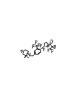 CN1CCN(Cc2ccc(C(F)(F)C3CCN(C(=O)C4(C(F)(F)F)CC4)C3)c(C(F)(F)F)c2)C(C)(C)C1